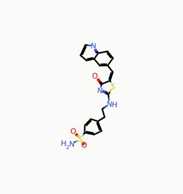 NS(=O)(=O)c1ccc(CCNC2=NC(=O)C(=Cc3ccc4ncccc4c3)S2)cc1